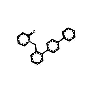 O=c1ccccn1Cc1ccccc1-c1ccc(-c2ccccc2)cc1